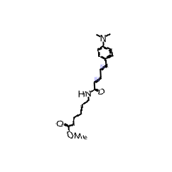 COC(=O)CCCCCNC(=O)/C=C/C=C/c1ccc(N(C)C)cc1